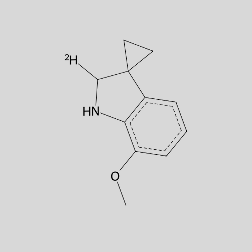 [2H]C1Nc2c(OC)cccc2C12CC2